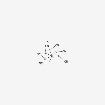 N#C[S][Ru-]([S]C#N)([S]C#N)([S]C#N)([S]C#N)[S]C#N.[K+]